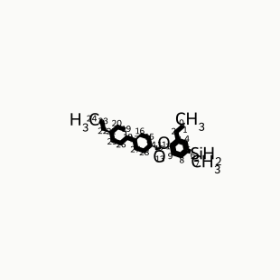 CCCc1cc([SiH2]C)ccc1OC(=O)[C@H]1CC[C@H]([C@H]2CC[C@H](CCC)CC2)CC1